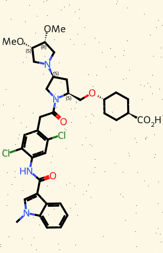 CO[C@H]1CN([C@H]2C[C@@H](CO[C@H]3CC[C@H](C(=O)O)CC3)N(C(=O)Cc3cc(Cl)c(NC(=O)c4cn(C)c5ccccc45)cc3Cl)C2)C[C@H]1OC